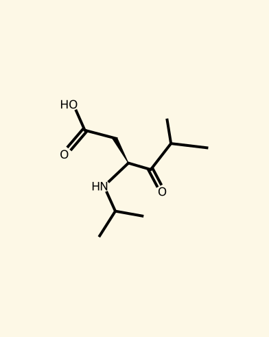 CC(C)N[C@@H](CC(=O)O)C(=O)C(C)C